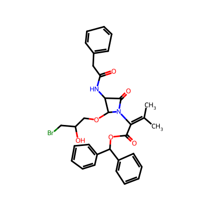 CC(C)=C(C(=O)OC(c1ccccc1)c1ccccc1)N1C(=O)C(NC(=O)Cc2ccccc2)C1OCC(O)CBr